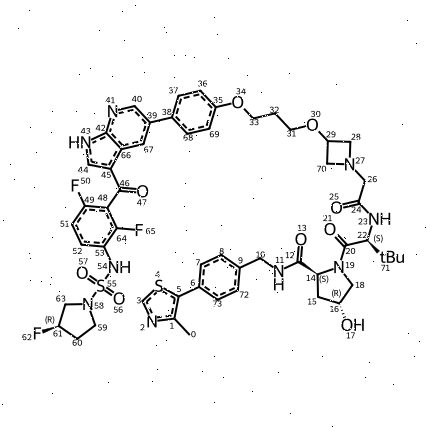 Cc1ncsc1-c1ccc(CNC(=O)[C@@H]2C[C@@H](O)CN2C(=O)[C@@H](NC(=O)CN2CC(OCCCOc3ccc(-c4cnc5[nH]cc(C(=O)c6c(F)ccc(NS(=O)(=O)N7CC[C@@H](F)C7)c6F)c5c4)cc3)C2)C(C)(C)C)cc1